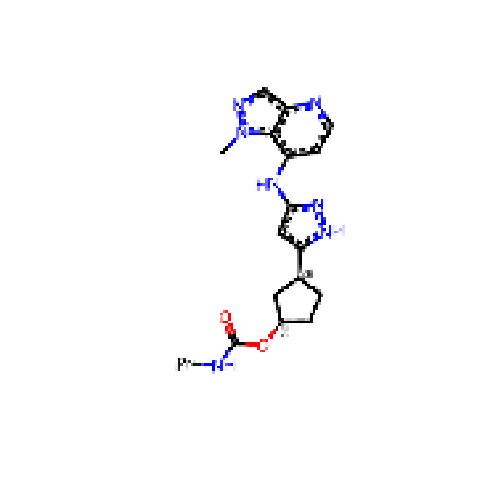 CC(C)NC(=O)O[C@@H]1CC[C@H](c2cc(Nc3ccnc4cnn(C)c34)n[nH]2)C1